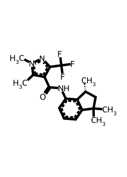 Cc1c(C(=O)Nc2cccc3c2[C@H](C)CC3(C)C)c(C(F)(F)F)nn1C